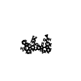 CC1(C)CN(C(=O)NC2CC2)Cc2c(-c3[nH]c4ncc(CC5(C)CN(C(=O)NCC(F)(F)F)Cc6c(-c7[nH]c8ncccc8c7Cl)c7c(N)ncnc7n65)cc4c3Cl)c3c(N)ncnc3n21